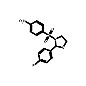 O=[N+]([O-])c1ccc(S(=O)(=O)N2CCSC2c2ccc(Br)cc2)cc1